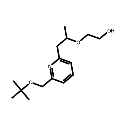 CC(Cc1cccc(COC(C)(C)C)n1)OCCO